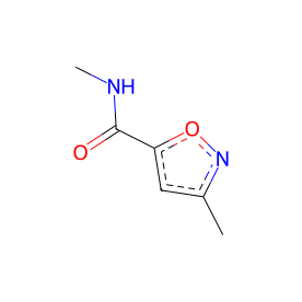 CNC(=O)c1cc(C)no1